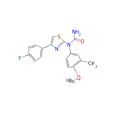 CCCCOc1ccc(N(C(N)=O)c2nc(-c3ccc(F)cc3)cs2)cc1C(F)(F)F